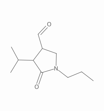 CCCN1CC(C=O)C(C(C)C)C1=O